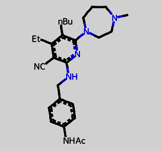 CCCCc1c(N2CCCN(C)CC2)nc(NCc2ccc(NC(C)=O)cc2)c(C#N)c1CC